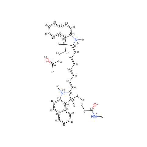 CCC1(CCCC(=O)NC)C(/C=C/C=C/C=C/C=C2/N(C)c3ccc4ccccc4c3C2(C)CCCC(C)=O)=[N+](C)c2ccc3ccccc3c21